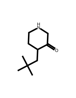 CC(C)(C)CC1CCNCC1=O